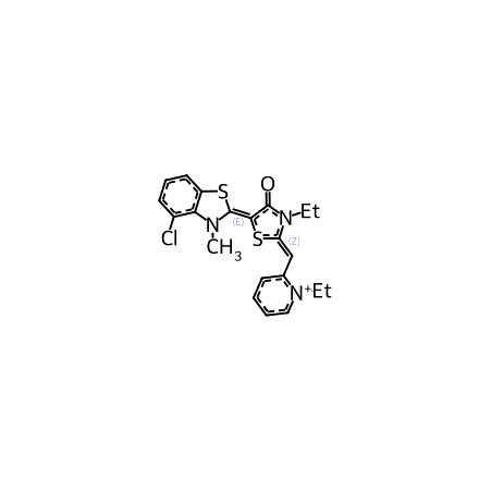 CCn1c(=O)/c(=C2\Sc3cccc(Cl)c3N2C)s/c1=C\c1cccc[n+]1CC